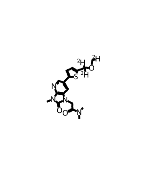 [2H]COC([2H])([2H])c1ccc(-c2cnc3c(c2)n(CC(=O)N(C)C)c(=O)n3C)s1